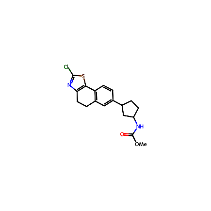 COC(=O)NC1CCC(c2ccc3c(c2)CCc2nc(Cl)sc2-3)C1